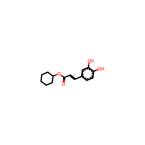 O=C(/C=C/c1ccc(O)c(O)c1)OC1CCCCC1